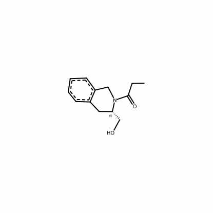 CCC(=O)N1Cc2ccccc2C[C@H]1CO